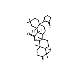 CC1(C)CC[C@]2(N3CCCC3=O)CC[C@]3(C)[C@H](C(=O)C=C4[C@@]5(C)CCC(=O)C(C)(C)[C@@H]5CC[C@]43C)[C@@H]2C1